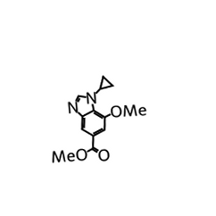 COC(=O)c1cc(OC)c2c(c1)ncn2C1CC1